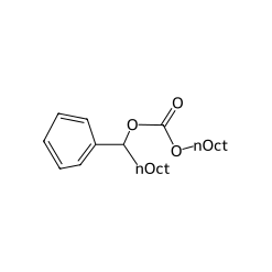 CCCCCCCCOC(=O)OC(CCCCCCCC)c1ccccc1